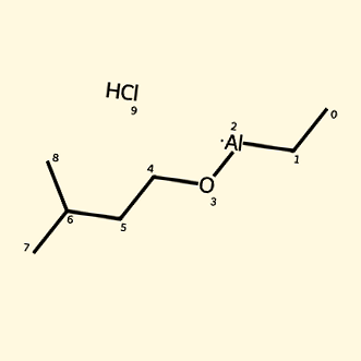 C[CH2][Al][O]CCC(C)C.Cl